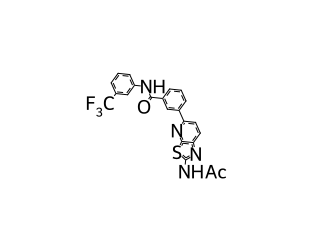 CC(=O)Nc1nc2ccc(-c3cccc(C(=O)Nc4cccc(C(F)(F)F)c4)c3)nc2s1